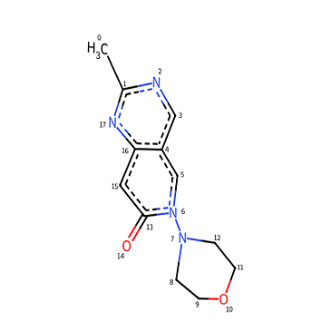 Cc1ncc2cn(N3CCOCC3)c(=O)cc2n1